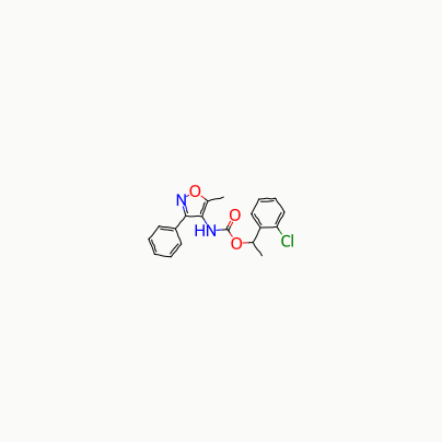 Cc1onc(-c2ccccc2)c1NC(=O)OC(C)c1ccccc1Cl